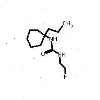 CCCC1(NC(=O)NCCF)CCCCC1